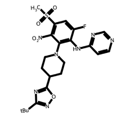 CC(C)(C)c1noc(C2CCN(c3c(Nc4ccncn4)c(F)cc(S(C)(=O)=O)c3[N+](=O)[O-])CC2)n1